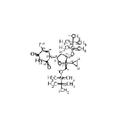 CC(C)(C)[Si](C)(C)OC[C@@]1(C2CC2)O[C@@H](n2cc(F)c(=O)[nH]c2=O)C[C@@H]1O[Si](C)(C)C(C)(C)C